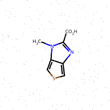 Cn1c(C(=O)O)nc2cscc21